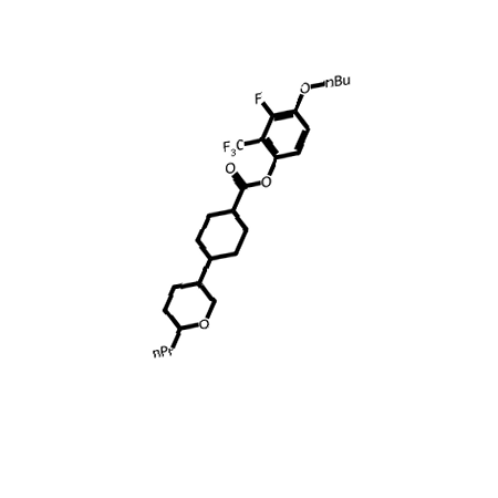 CCCCOc1ccc(OC(=O)C2CCC(C3CCC(CCC)OC3)CC2)c(C(F)(F)F)c1F